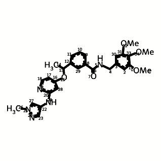 COc1cc(CNC(=O)c2cccc(C(C)Oc3ccnc(Nc4cnn(C)c4)c3)c2)cc(OC)c1OC